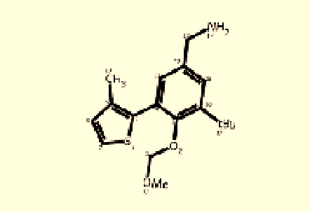 COCOc1c(-c2sccc2C)cc(CN)cc1C(C)(C)C